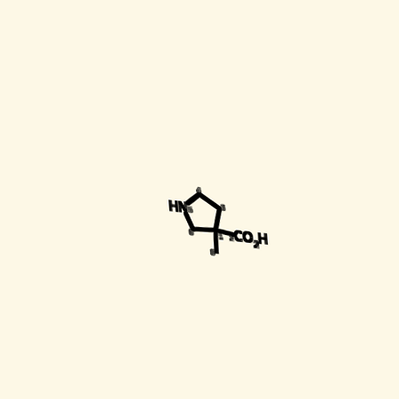 CC1(C(=O)O)CCNC1